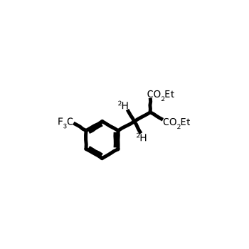 [2H]C([2H])(c1cccc(C(F)(F)F)c1)C(C(=O)OCC)C(=O)OCC